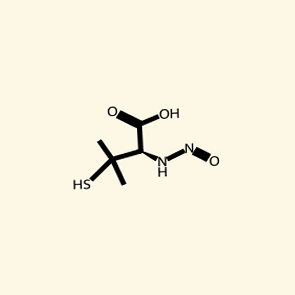 CC(C)(S)[C@H](NN=O)C(=O)O